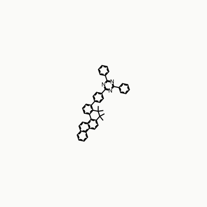 CC1(C)c2ccc3c(ccc4ccccc43)c2-c2cccc(-c3ccc(-c4nc(-c5ccccc5)nc(-c5ccccc5)n4)cc3)c2C1(C)C